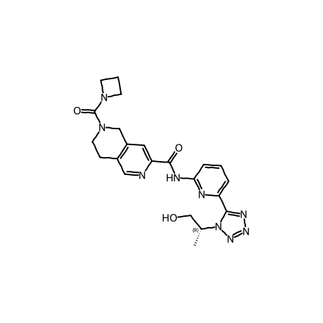 C[C@H](CO)n1nnnc1-c1cccc(NC(=O)c2cc3c(cn2)CCN(C(=O)N2CCC2)C3)n1